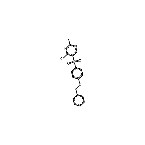 Cc1ncc(S(=O)(=O)c2ccc(OCc3ccccc3)cc2)c(Cl)n1